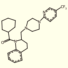 O=C(C1CCCCC1)N1c2ccccc2CCC1CN1CCN(c2ccc(C(F)(F)F)cn2)CC1